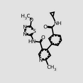 COc1nnc(NC(=O)c2cnc(C)cc2-c2cccc(C(=O)NC3CC3)c2)s1